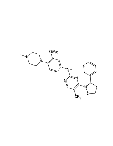 COc1cc(Nc2ncc(C(F)(F)F)c(N3OCCC3c3ccccc3)n2)ccc1N1CCN(C)CC1